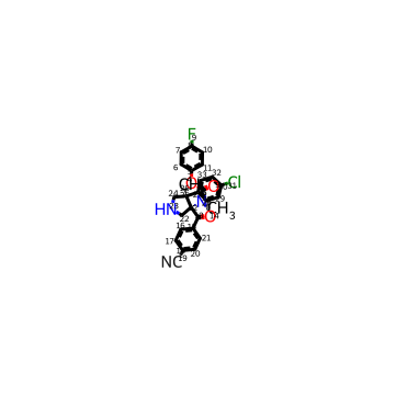 CN(C(=O)Oc1ccc(F)cc1)[C@]1(C(=O)c2ccc(C#N)cc2)CNC[C@@]1(C)c1ccc(Cl)cc1